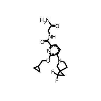 NC(=O)CNC(=O)c1ccc(N2CCC3(C2)CC3(F)F)c(OCC2CC2)n1